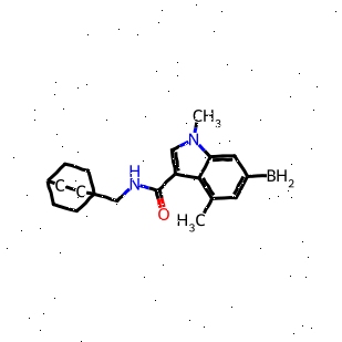 Bc1cc(C)c2c(C(=O)NCC34CCC(CC3)CC4)cn(C)c2c1